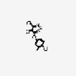 Cc1cc(Oc2nsnc(Cl)c2=O)ccc1Cl